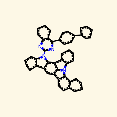 c1ccc(-c2ccc(-c3nc(-n4c5ccccc5c5cc6c7ccc8ccccc8c7n7c8ccccc8c(c54)c67)nc4ccccc34)cc2)cc1